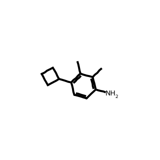 Cc1c(N)ccc(C2CCC2)c1C